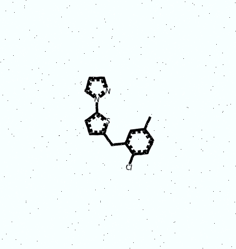 Cc1ccc(Cl)c(Cc2ccc(-n3cccn3)s2)c1